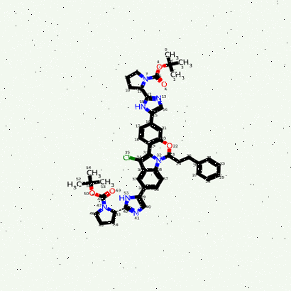 CC(C)(C)OC(=O)N1CCCC1c1ncc(-c2ccc3c(c2)OC(CCc2ccccc2)n2c-3c(Cl)c3cc(-c4cnc([C@@H]5CCCN5C(=O)OC(C)(C)C)[nH]4)ccc32)[nH]1